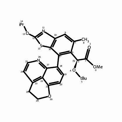 COC(=O)[C@@H](OC(C)(C)C)c1c(C)cc2nc(OC(C)C)sc2c1-c1ccc2c3c(ccnc13)CCO2